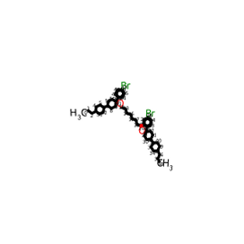 CCCC1CCC(C2CCC(OCCCCCCCCOC3(c4ccc(Br)cc4)CCC(C4CCC(CCC)CC4)CC3)(c3ccc(Br)cc3)CC2)CC1